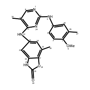 COc1ccc(Nc2ncc(C)c(Nc3cc(C)c4oc(=O)[nH]c4c3)n2)cc1C